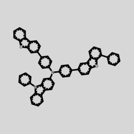 c1ccc(-c2cccc3c2oc2ccc(-c4ccc(N(c5ccc(-c6ccc7c(c6)oc6ccccc67)cc5)c5ccc6c7ccccc7n(-c7ccccc7)c6c5)cc4)cc23)cc1